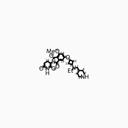 CCN(CC1CCNCC1)C1CC(Oc2cc(OC)c3c(c2)C(=O)N(C2CCC(=O)NC2=O)C3=O)C1